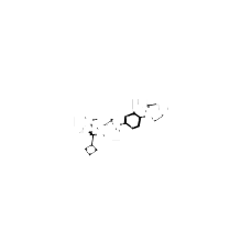 NC[C@H](NC(=O)C1CCC1)C(=O)Nc1ccc(N2CCOCC2=O)c(F)c1